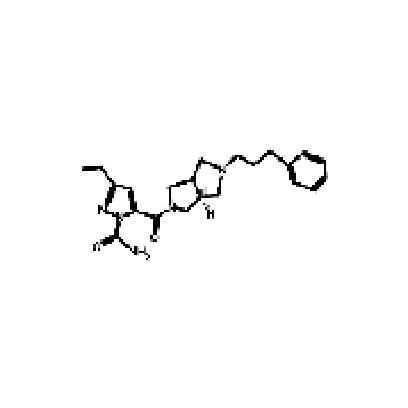 CCc1cc(C(=O)N2CC3CN(CC[CH]c4ccccc4)C[C@H]3C2)n(C(N)=O)n1